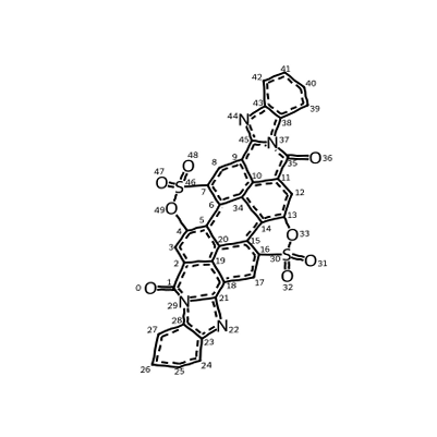 O=c1c2cc3c4c5c(cc6c7c(cc8c(c9c(cc(c2c49)c2nc4ccccc4n12)S(=O)(=O)O8)c57)c(=O)n1c2ccccc2nc61)S(=O)(=O)O3